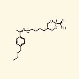 CCCCc1ccc(/C(C)=N\OCCCCC2COC(C)(C(=O)O)OC2)cc1